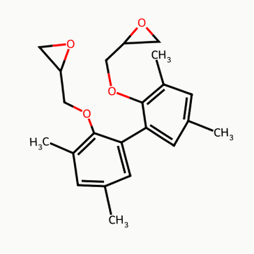 Cc1cc(C)c(OCC2CO2)c(-c2cc(C)cc(C)c2OCC2CO2)c1